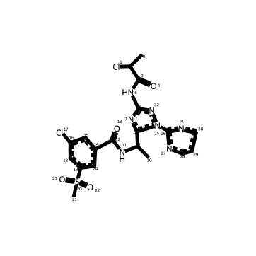 CC(Cl)C(=O)Nc1nc(C(C)NC(=O)c2cc(Cl)cc(S(C)(=O)=O)c2)n(-c2ncccn2)n1